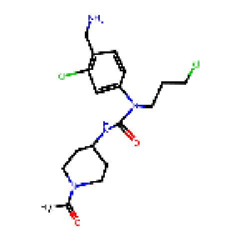 CC(=O)N1CCC(NC(=O)N(CCCCl)c2ccc(CN)c(Cl)c2)CC1